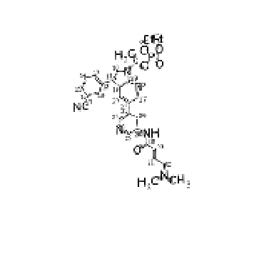 CCOP(=O)(OCC)OC(C)n1cc(-c2cccc(C#N)c2)c2cc(-c3cncc(NC(=O)C=CCN(C)C)c3)cnc21